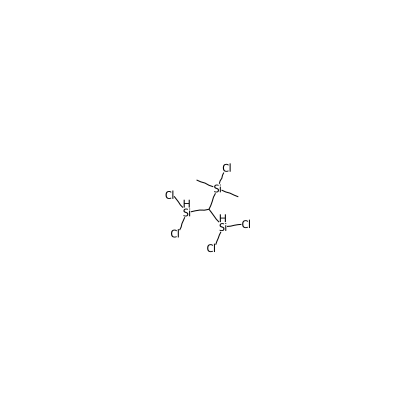 C[Si](C)(Cl)C([SiH](Cl)Cl)[SiH](Cl)Cl